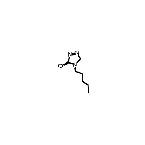 CCCCCN1CN=NC1=O